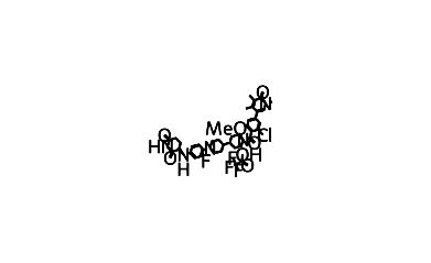 COc1cc(-c2cn(C)c(=O)c(C)c2C)cc(Cl)c1C(=O)N1CCC(C2CCN(c3ccc(NC4CCC(=O)NC4=O)cc3F)CC2)CC1.O=C(O)C(F)(F)F